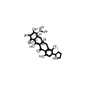 CCCN(CCC)[C@@H]1C(O)=C(C(C)=O)C(=O)[C@@]2(O)C(O)=C3C(=O)c4c(O)cc(C5CCCN5)c(C(F)(F)F)c4C[C@H]3C[C@@H]12